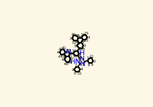 c1ccc(C2=NC(c3ccccc3)NC(c3cc(-c4ccc5c6ccccc6c6ccccc6c5c4)cc(-c4nc5ccccc5c5ccccc45)c3)N2)cc1